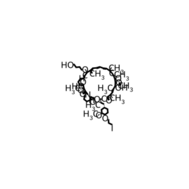 CO[C@@H]1C[C@H](CC(C)[C@@H]2CC(=O)[C@H](C)/C=C(\C)[C@@H](O)[C@@H](OC)C(=O)[C@H](C)C[C@H](C)/C=C/C=C/C=C(\C)[C@H](OCCCCO)C[C@@H]3CC[C@@H](C)[C@@](O)(O3)C(=O)C(=O)N3CCCC[C@H]3C(=O)O2)CC[C@H]1OCCCI